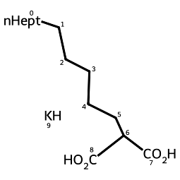 CCCCCCCCCCCCC(C(=O)O)C(=O)O.[KH]